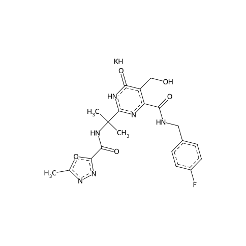 Cc1nnc(C(=O)NC(C)(C)c2nc(C(=O)NCc3ccc(F)cc3)c(CO)c(=O)[nH]2)o1.[KH]